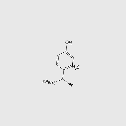 CCCCCC(Br)c1ccc(O)cc1.S